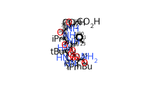 CCCCC(NC(=O)[C@H](CC(C)C)NC(=O)[C@@H](NC(=O)[C@H](Cc1ccccc1C)NC(=O)[C@H](NC(=O)[C@H](CC(=O)O)NC(=O)CCC(=O)O)C(C)C)C(C)(C)C)C(=O)C(N)=O